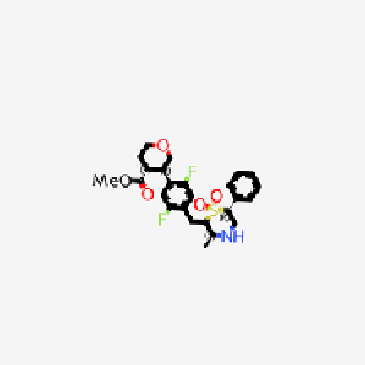 COC(=O)[C@@H]1CCOC[C@H]1c1cc(F)c(CC2[C@H](C)NC[C@@H](c3ccccc3)S2(=O)=O)cc1F